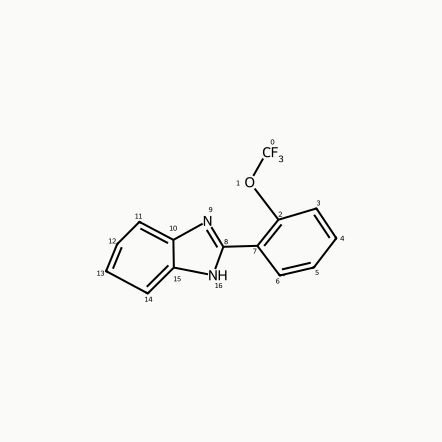 FC(F)(F)Oc1ccc[c]c1-c1nc2ccccc2[nH]1